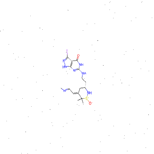 CN=C/C=C1\C[C@H](CCNc2nc3[nH]nc(I)c3c(=O)[nH]2)N[S+]([O-])C1(C)C